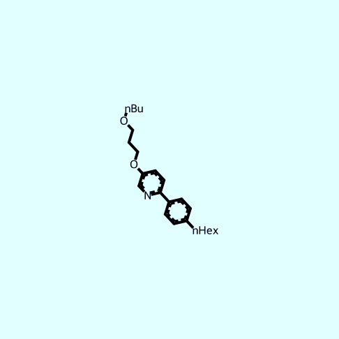 CCCCCCc1ccc(-c2ccc(OCCCOCCCC)cn2)cc1